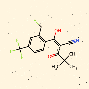 CC(C)(C)C(=O)C(C#N)=C(O)c1ccc(C(F)(F)F)cc1CF